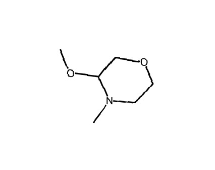 COC1COCCN1C